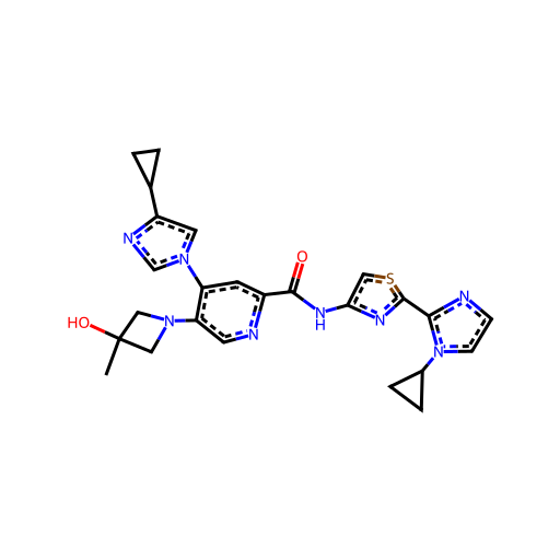 CC1(O)CN(c2cnc(C(=O)Nc3csc(-c4nccn4C4CC4)n3)cc2-n2cnc(C3CC3)c2)C1